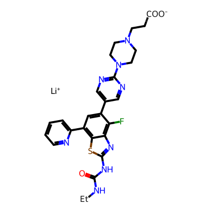 CCNC(=O)Nc1nc2c(F)c(-c3cnc(N4CCN(CCC(=O)[O-])CC4)nc3)cc(-c3ccccn3)c2s1.[Li+]